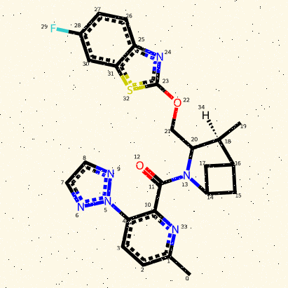 Cc1ccc(-n2nccn2)c(C(=O)N2C3CC(C3)[C@H](C)C2COc2nc3ccc(F)cc3s2)n1